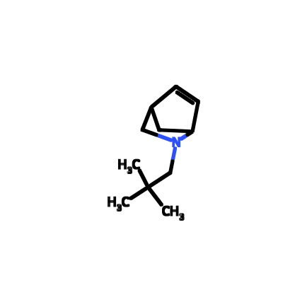 CC(C)(C)CN1CC2C=CC1C2